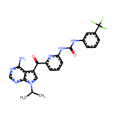 CC(C)n1cc(C(=O)c2cccc(NC(=O)Nc3cccc(C(F)(F)F)c3)n2)c2c(N)ncnc21